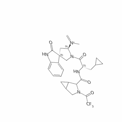 C=[N+](C)[C@@H]1C[C@@]2(CN1C(=O)[C@H](CC1CC1)NC(=O)C1C3CC3CN1C(=O)C(F)(F)F)C(=O)Nc1ccccc12